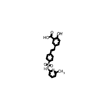 Cc1cccc(NS(=O)(=O)c2ccc(C=Cc3ccc(O)c(C(=O)O)c3)cc2)n1